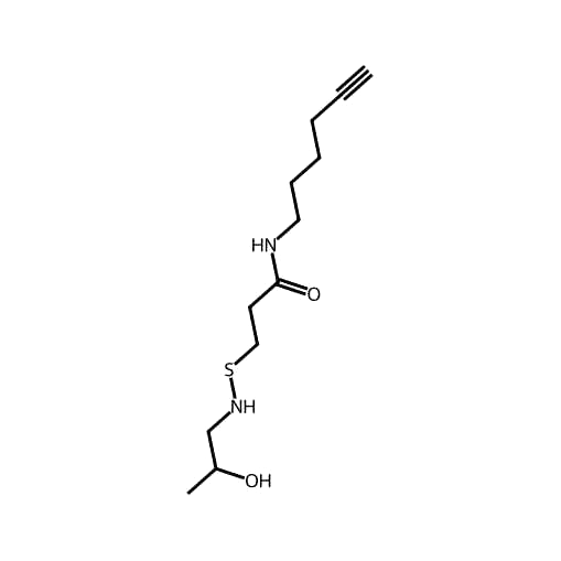 C#CCCCCNC(=O)CCSNCC(C)O